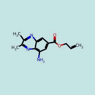 C=CCOC(=O)c1cc(N)c2nc(C)c(C)nc2c1